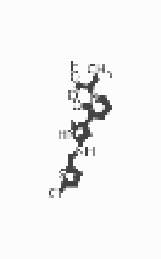 CCC(C(=O)O)n1cccc(-c2cc(NCc3ccc(Cl)s3)[nH]n2)c1=O